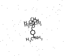 C[C@H](N)C1CCC(CO[Si](C)(C)C(C)(C)C)CC1